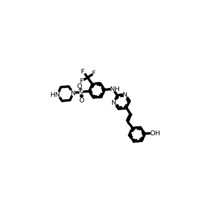 O=S(=O)(c1ccc(Nc2ncc(C=Cc3cccc(O)c3)cn2)cc1C(F)(F)F)N1CCNCC1